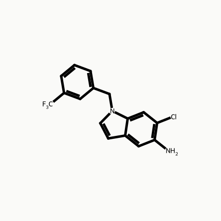 Nc1cc2ccn(Cc3cccc(C(F)(F)F)c3)c2cc1Cl